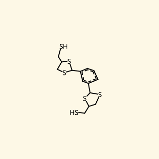 SCC1CSC(c2cccc(C3SCC(CS)S3)c2)S1